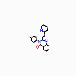 O=c1c2ccccc2nc(C=Cc2ccccn2)n1-c1ccc(F)cc1